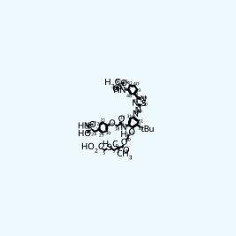 CC(C)(CSCC(=O)O)C(=O)OCCOc1c(NC(=O)COc2ccc(CS(=N)(=O)O)cc2)cc(/N=N/c2nc(-c3cccc(NS(C)(=O)=O)c3)ns2)cc1C(C)(C)C